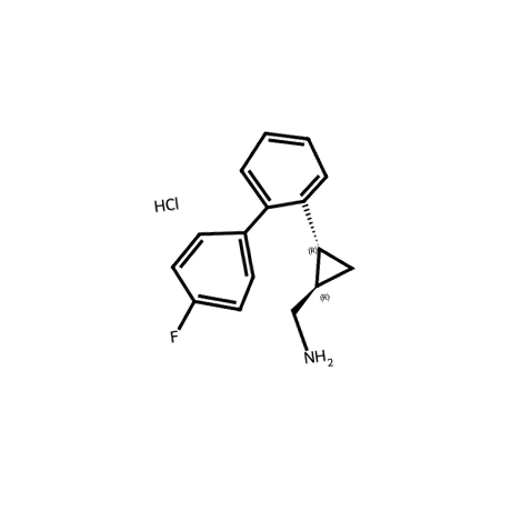 Cl.NC[C@@H]1C[C@H]1c1ccccc1-c1ccc(F)cc1